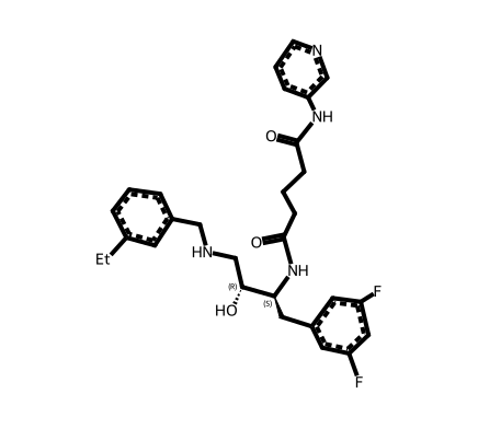 CCc1cccc(CNC[C@@H](O)[C@H](Cc2cc(F)cc(F)c2)NC(=O)CCCC(=O)Nc2cccnc2)c1